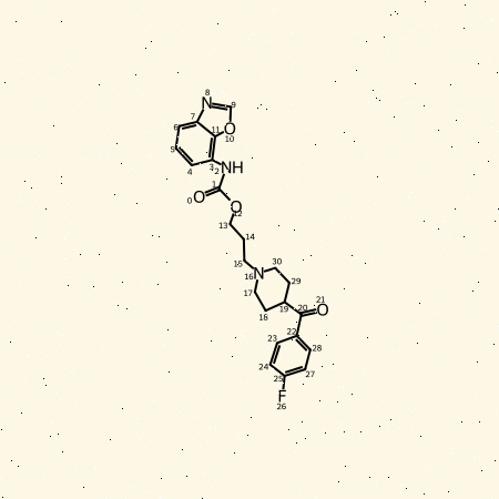 O=C(Nc1cccc2ncoc12)OCCCN1CCC(C(=O)c2ccc(F)cc2)CC1